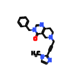 Cn1ccnc1C#CCN1CCc2ncn(Cc3ccccc3)c(=O)c2C1